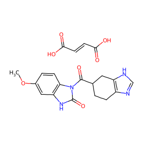 COc1ccc2c(c1)[nH]c(=O)n2C(=O)C1CCc2nc[nH]c2C1.O=C(O)C=CC(=O)O